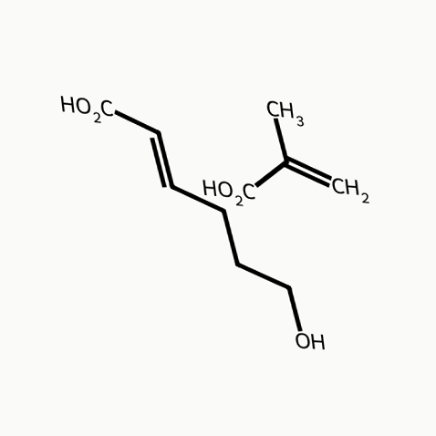 C=C(C)C(=O)O.O=C(O)C=CCCCO